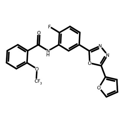 O=C(Nc1cc(-c2nnc(-c3ccco3)o2)ccc1F)c1ccccc1OC(F)(F)F